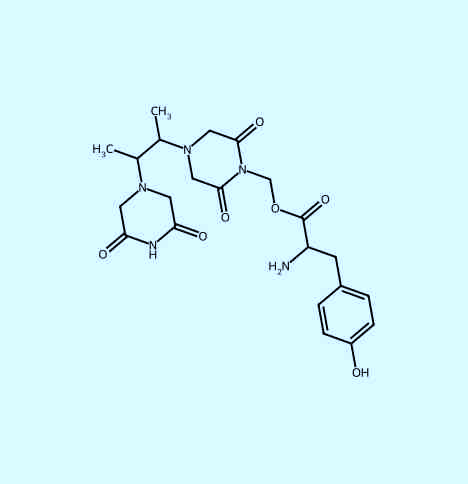 CC(C(C)N1CC(=O)N(COC(=O)C(N)Cc2ccc(O)cc2)C(=O)C1)N1CC(=O)NC(=O)C1